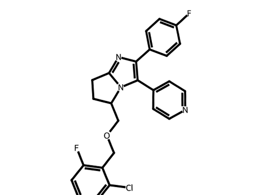 Fc1ccc(-c2nc3n(c2-c2ccncc2)C(COCc2c(F)cccc2Cl)CC3)cc1